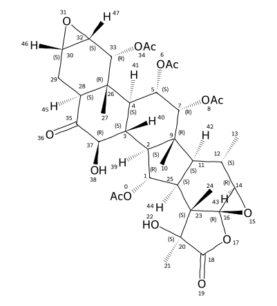 CC(=O)O[C@@H]1[C@H]2[C@H]3[C@H]([C@H](OC(C)=O)[C@H](OC(C)=O)[C@]2(C)[C@H]2[C@H](C)[C@H]4O[C@]45OC(=O)[C@@](C)(O)[C@]5(C)[C@@H]12)[C@]1(C)[C@H](C[C@@H]2O[C@@H]2[C@@H]1OC(C)=O)C(=O)[C@@H]3O